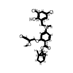 COC(=C=O)COc1cc(N(C)Cc2cc(Cl)cc(Cl)c2O)ccc1C(=O)OC1CC2CCC1(C)C2(C)C